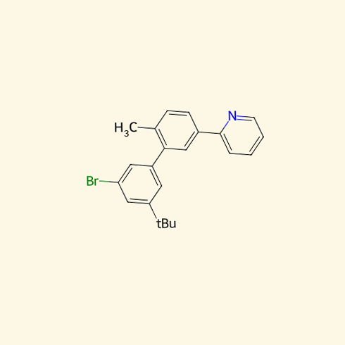 Cc1ccc(-c2ccccn2)cc1-c1cc(Br)cc(C(C)(C)C)c1